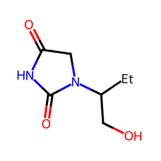 CCC(CO)N1CC(=O)NC1=O